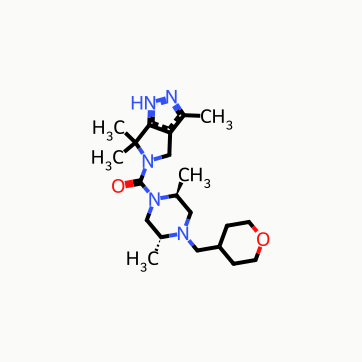 Cc1n[nH]c2c1CN(C(=O)N1C[C@@H](C)N(CC3CCOCC3)C[C@@H]1C)C2(C)C